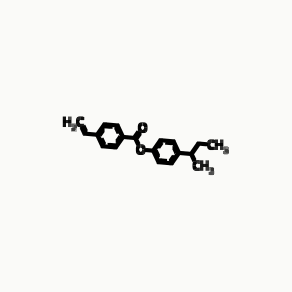 C=Cc1ccc(C(=O)Oc2ccc(C(C)CC)cc2)cc1